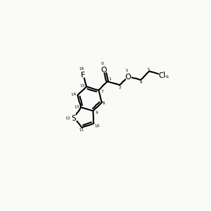 O=C(COCCCl)c1cc2ccsc2cc1F